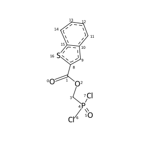 O=C(OCP(=O)(Cl)Cl)c1cc2ccccc2s1